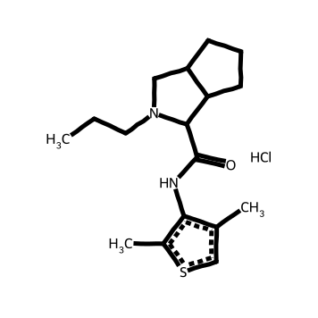 CCCN1CC2CCCC2C1C(=O)Nc1c(C)csc1C.Cl